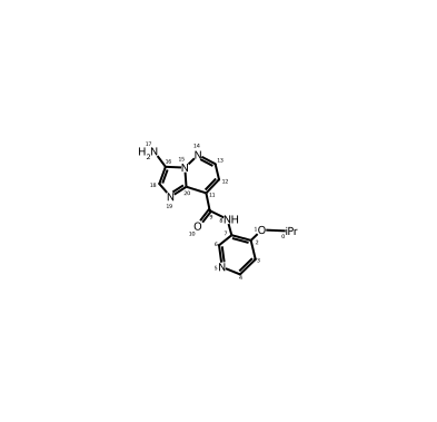 CC(C)Oc1ccncc1NC(=O)c1ccnn2c(N)cnc12